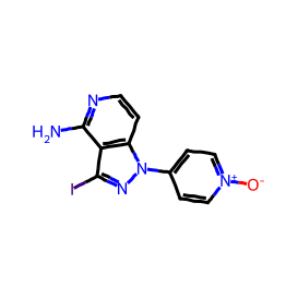 Nc1nccc2c1c(I)nn2-c1cc[n+]([O-])cc1